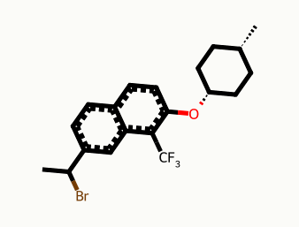 CC(Br)c1ccc2ccc(O[C@H]3CC[C@@H](C)CC3)c(C(F)(F)F)c2c1